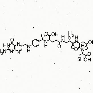 Nc1nc2ncc(CNc3ccc(C(=O)N[C@H](CCC(=O)NC[C@@H](N)C(=O)N[C@H](CC(=O)O)C(=O)N[C@H](CS)C(=O)O)C(=O)O)cc3)nc2c(=O)[nH]1